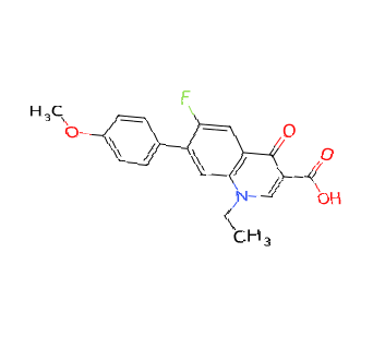 CCn1cc(C(=O)O)c(=O)c2cc(F)c(-c3ccc(OC)cc3)cc21